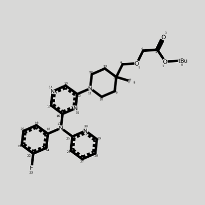 CC(C)(C)OC(=O)COCC1(F)CCN(c2cncc(N(c3cccc(F)c3)c3ccccn3)n2)CC1